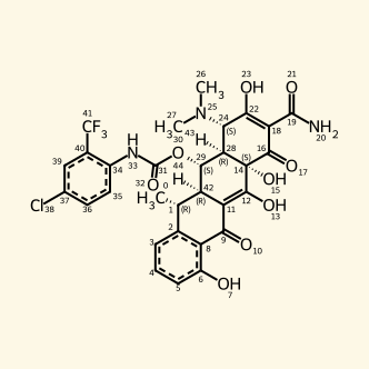 C[C@H]1c2cccc(O)c2C(=O)C2=C(O)[C@]3(O)C(=O)C(C(N)=O)=C(O)[C@@H](N(C)C)[C@@H]3[C@@H](OC(=O)Nc3ccc(Cl)cc3C(F)(F)F)[C@@H]21